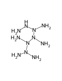 NNN(N)N(N)N(N)N(N)N